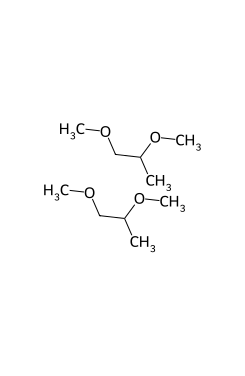 COCC(C)OC.COCC(C)OC